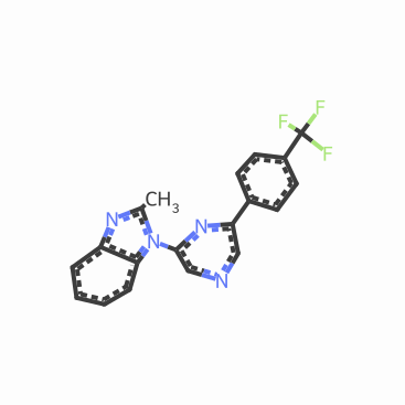 Cc1nc2ccccc2n1-c1cncc(-c2ccc(C(F)(F)F)cc2)n1